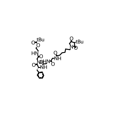 CC(C)(C)C(=O)OCCNC(=O)CNC(=O)[C@@H](Cc1ccccc1)NC(=O)CNC(=O)CNC(=O)CCCCCN1CC(=O)C(C(C)(C)C)C1=O